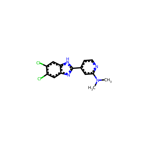 CN(C)c1cc(-c2nc3cc(Cl)c(Cl)cc3[nH]2)ccn1